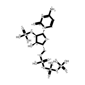 Nc1ccn([C@@H]2O[C@H](COP(=O)(O)OP(=O)(O)OP(=O)(O)O)[C@@H](O)[C@H]2OP(=O)(O)O)c(=O)n1